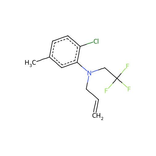 C=CCN(CC(F)(F)F)c1cc(C)ccc1Cl